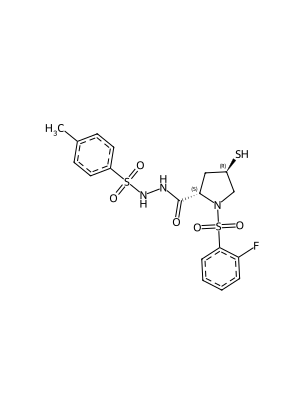 Cc1ccc(S(=O)(=O)NNC(=O)[C@@H]2C[C@@H](S)CN2S(=O)(=O)c2ccccc2F)cc1